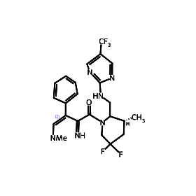 CN/C=C(\C(=N)C(=O)N1CC(F)(F)C[C@@H](C)C1CNc1ncc(C(F)(F)F)cn1)c1ccccc1